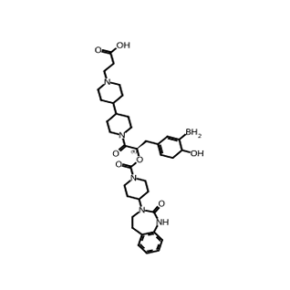 BC1=CC(C[C@@H](OC(=O)N2CCC(N3CCc4ccccc4NC3=O)CC2)C(=O)N2CCC(C3CCN(CCC(=O)O)CC3)CC2)=CCC1O